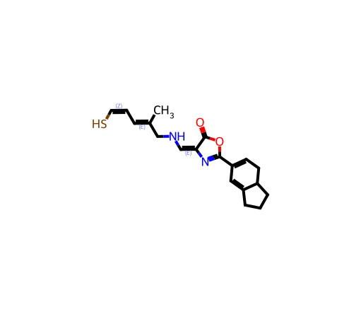 C/C(=C\C=C/S)CN/C=C1/N=C(C2=CCC3CCCC3=C2)OC1=O